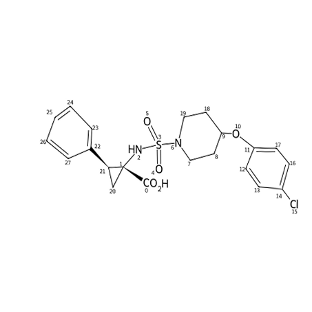 O=C(O)[C@@]1(NS(=O)(=O)N2CCC(Oc3ccc(Cl)cc3)CC2)C[C@H]1c1ccccc1